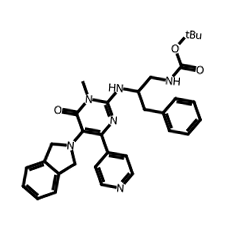 Cn1c(NC(CNC(=O)OC(C)(C)C)Cc2ccccc2)nc(-c2ccncc2)c(N2Cc3ccccc3C2)c1=O